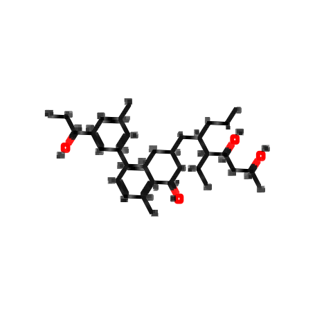 CCCC(CC1CC(=O)c2c(C)ccc(-c3cc(C)cc(C(=O)CC)c3)c2C1)C(CC)C(=O)CC(C)=O